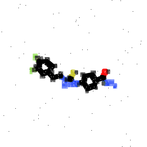 NC(=O)c1ccc(NC(=S)NCCc2ccc(F)c(F)c2)cc1